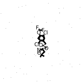 CC1(C)CC(S(=O)(=O)Cc2cc(Cl)c(OC(F)F)cc2Cl)=NO1